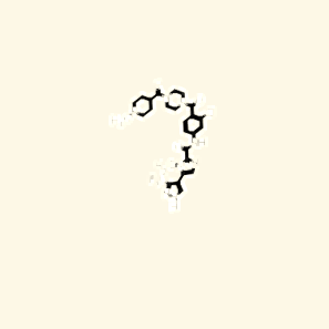 CN1CCC(C(=O)N2CCN(C(=O)c3ccc(NC(=O)c4ncc(-c5c[nH]nc5C(F)(F)F)n4C)cc3Cl)CC2)CC1